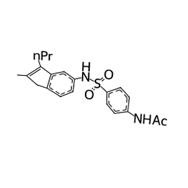 CCCC1=C(C)Cc2ccc(NS(=O)(=O)c3ccc(NC(C)=O)cc3)cc21